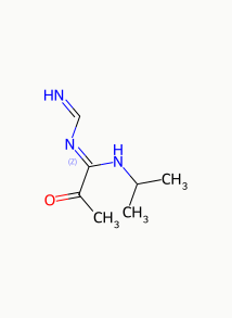 CC(=O)/C(=N/C=N)NC(C)C